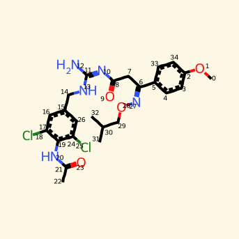 COc1ccc(C(CC(=O)N=C(N)NCc2cc(Cl)c(NC(C)=O)c(Cl)c2)=NOCC(C)C)cc1